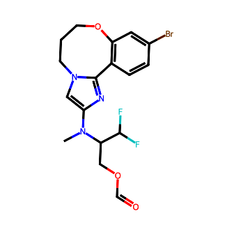 CN(c1cn2c(n1)-c1ccc(Br)cc1OCCC2)C(COC=O)C(F)F